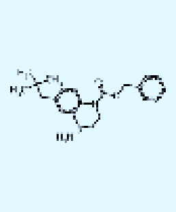 CC(C)(C)Cc1ccc2c(c1)[C@@H](N)CCN2C(=O)OCc1ccccc1